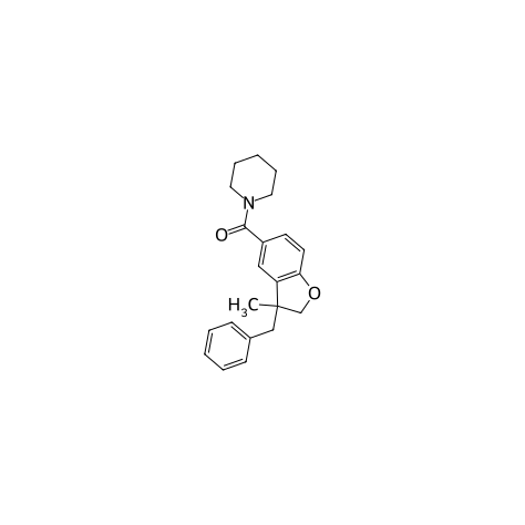 CC1(Cc2ccccc2)COc2ccc(C(=O)N3CCCCC3)cc21